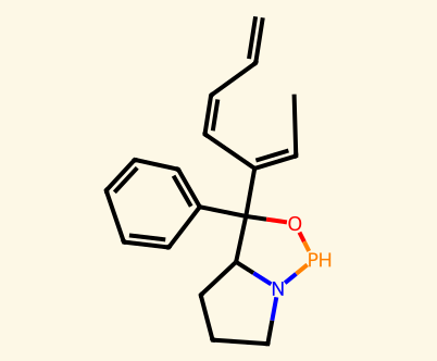 C=C/C=C\C(=C/C)C1(c2ccccc2)OPN2CCCC21